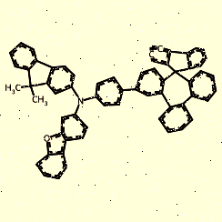 CC1(C)c2ccccc2-c2ccc(N(c3ccc(-c4ccc5c(c4)-c4ccccc4-c4ccccc4C54c5ccccc5-c5ccccc54)cc3)c3ccc4c(c3)oc3ccccc34)cc21